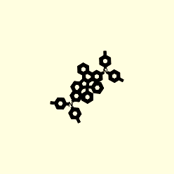 Cc1ccc(N(c2ccc(C)cc2)c2ccc3c4c(ccc3c2)-c2c(c3ccc(N(c5ccc(C)cc5)c5ccc(C)cc5)cc3c3ccccc23)C4(c2ccccc2)c2ccccc2)cc1